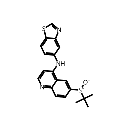 CC(C)(C)[S+]([O-])c1ccc2nccc(Nc3ccc4scnc4c3)c2c1